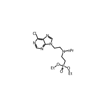 CCCN(CCn1cnc2c(Cl)ncnc21)CCP(=O)(OCC)OCC